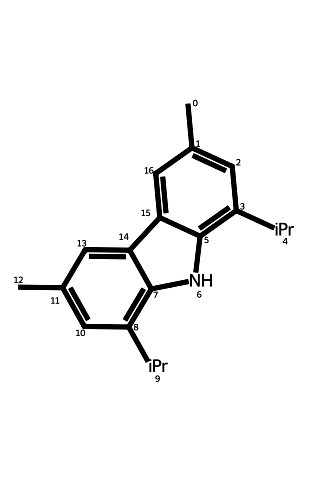 Cc1cc(C(C)C)c2[nH]c3c(C(C)C)cc(C)cc3c2c1